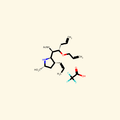 C=CCO[C@@H](CC=C)[C@H](NC(C)=O)[C@@H]1N[C@@H](C(=O)O)C[C@H]1/C=C\C.O=C(O)C(F)(F)F